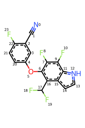 N#Cc1cc(Oc2c(F)c(F)c3[nH]ccc3c2C(F)F)ccc1F